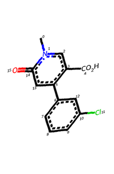 Cn1cc(C(=O)O)c(-c2cccc(Cl)c2)cc1=O